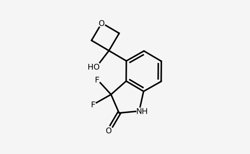 O=C1Nc2cccc(C3(O)COC3)c2C1(F)F